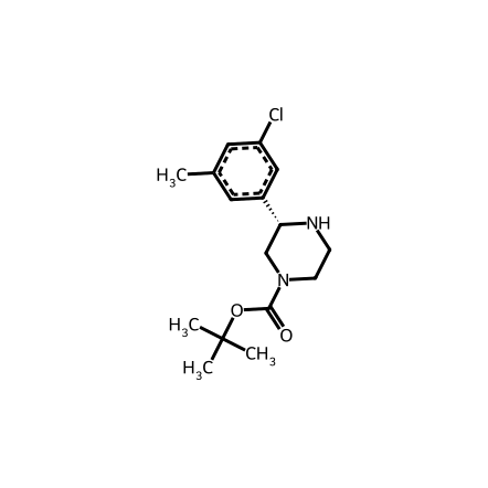 Cc1cc(Cl)cc([C@H]2CN(C(=O)OC(C)(C)C)CCN2)c1